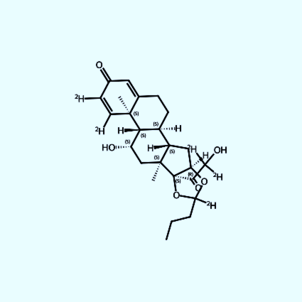 [2H]C1=C([2H])[C@@]2(C)C(=CC1=O)CC[C@@H]1[C@@H]2[C@@H](O)C[C@@]2(C)[C@H]1C[C@H]1OC([2H])(CCC)O[C@]12C(=O)C([2H])([2H])O